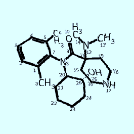 Cc1cccc(C)c1N(C(=O)C1(N(C)C)CCNCC1)[C@@H]1CCCC[C@H]1O